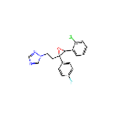 Fc1ccc(C2(CCn3cncn3)OC2c2ccccc2Cl)cc1